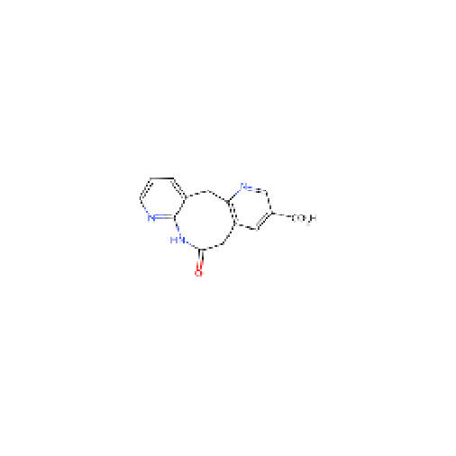 O=C1Cc2cc(C(=O)O)cnc2Cc2cccnc2N1